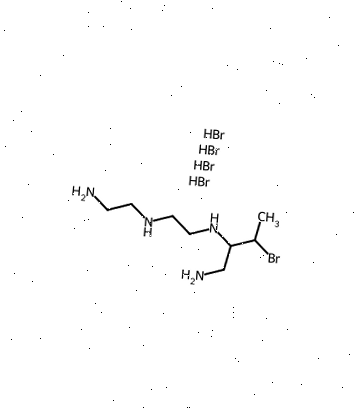 Br.Br.Br.Br.CC(Br)C(CN)NCCNCCN